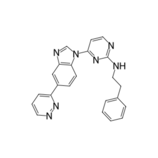 c1ccc(CCNc2nccc(-n3cnc4cc(-c5cccnn5)ccc43)n2)cc1